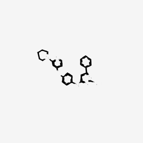 Nc1nc(Nc2ccc(Oc3ccnc(N4CCCCC4)c3)cc2)cc(-c2ccccc2)n1